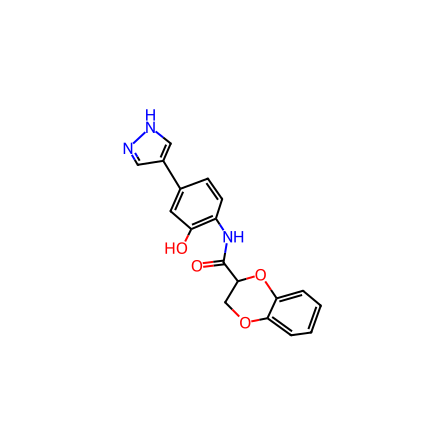 O=C(Nc1ccc(-c2cn[nH]c2)cc1O)C1COc2ccccc2O1